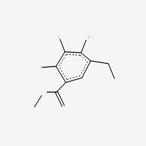 CCc1cc(C(=O)OC)c(Cl)c(I)c1N